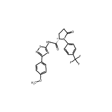 COc1ccc(-c2nsc(NC(=O)[C@@H]3CCC(=O)N3c3ccc(C(F)(F)F)cc3)n2)cc1